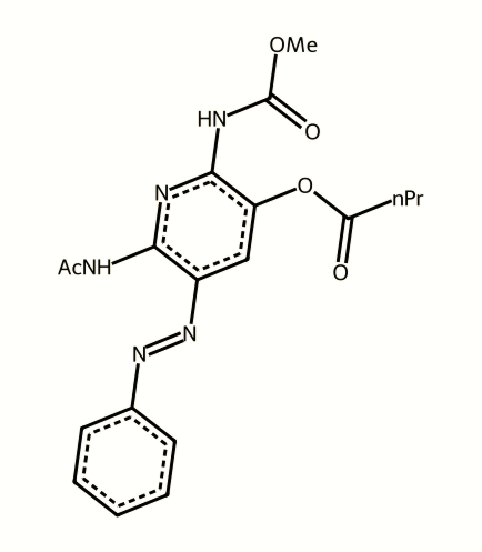 CCCC(=O)Oc1cc(/N=N/c2ccccc2)c(NC(C)=O)nc1NC(=O)OC